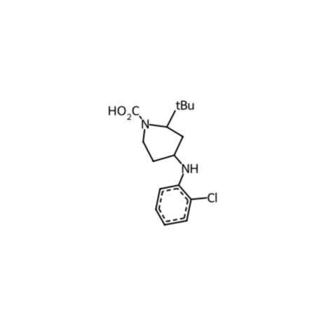 CC(C)(C)C1CC(Nc2ccccc2Cl)CCN1C(=O)O